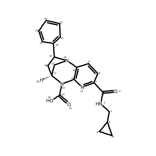 O=C(NCC1CC1)c1ccc2c(n1)N(C(=O)O)[C@H]1CC(c3ccccc3)N2C1